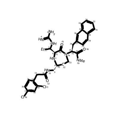 CCC(NC(=N)N)[C@@H]1N[C@@H](CNC(=O)Cc2ccc(Cl)cc2Cl)CCN([C@@H](Cc2ccc3ccccc3c2)C(=O)NC)C1=O